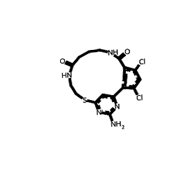 Nc1nc2cc(n1)-c1cc(c(Cl)cc1Cl)C(=O)NCCCC(=O)NCCS2